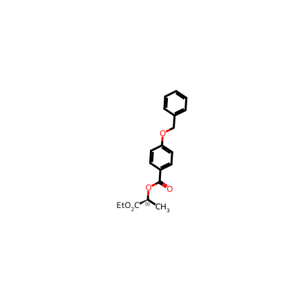 CCOC(=O)[C@H](C)OC(=O)c1ccc(OCc2ccccc2)cc1